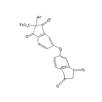 CCOC(=O)C1(C(C)=O)C(=O)c2ccc(Oc3ccc4c(c3)C(=O)CC4=O)cc2C1=O